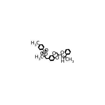 Cc1ccc(S(=O)(=O)O[C@H](C)Cc2ccc3c(c2)OC[C@H](C(=O)N[C@@H](C)c2ccccc2)O3)cc1